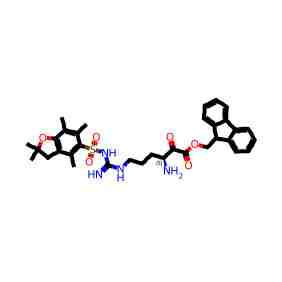 Cc1c(C)c(S(=O)(=O)NC(=N)NCCC[C@H](N)C(=O)C(=O)OCC2c3ccccc3-c3ccccc32)c(C)c2c1OC(C)(C)C2